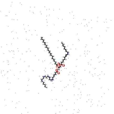 CCCCC/C=C\C/C=C\C/C=C\C/C=C\CCCCCC(=O)OC[C@@H](COC(=O)CCCCCCC/C=C\CCCCCCC)OC(=O)CCCCCCCCCCCCCCCCCCCC